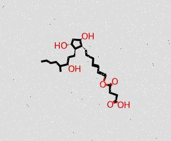 CCCCC(C)[C@@H](O)CC[C@@H]1[C@@H](CCC/C=C/C=C/OC(=O)CCC(=O)O)[C@@H](O)C[C@H]1O